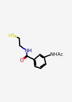 CC(=O)Nc1cccc(C(=O)NCCS)c1